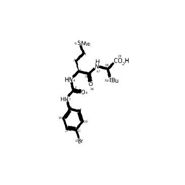 CSCC[C@H](NC(=O)Nc1ccc(Br)cc1)C(=O)NC(C(=O)O)C(C)(C)C